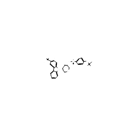 CC(C)(C)c1ccc2c(c1)c1ccccc1n2[C@H]1CNC[C@@H](NS(=O)(=O)c2ccc(OC(F)(F)F)cc2)[C@@H]1O